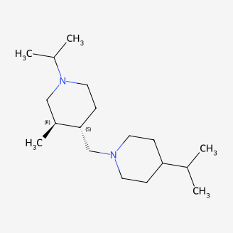 CC(C)C1CCN(C[C@H]2CCN(C(C)C)C[C@@H]2C)CC1